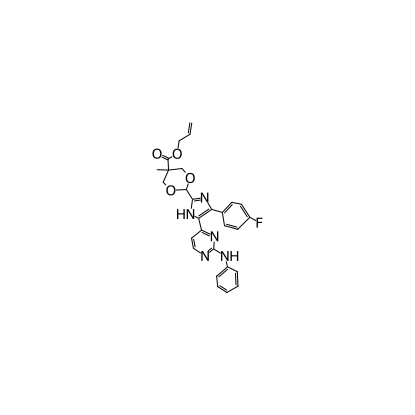 C=CCOC(=O)C1(C)COC(c2nc(-c3ccc(F)cc3)c(-c3ccnc(Nc4ccccc4)n3)[nH]2)OC1